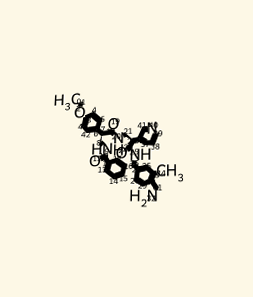 CCOc1ccc([C@@H](CNC(=O)c2ccccc2)C(=O)NC[C@H](C(=O)NCc2ccc(CN)c(C)c2)c2cccnc2)cc1